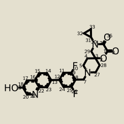 O=C1OC2(CCN(Cc3c(F)cc(-c4ccc5cc(O)cnc5c4)cc3F)CC2)CN(C2CC2)C1=O